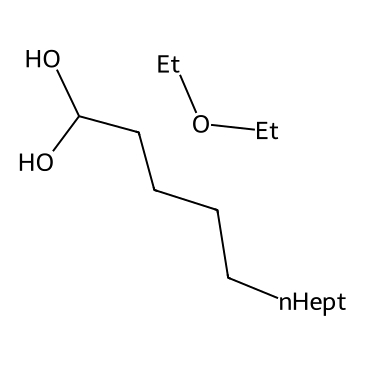 CCCCCCCCCCCC(O)O.CCOCC